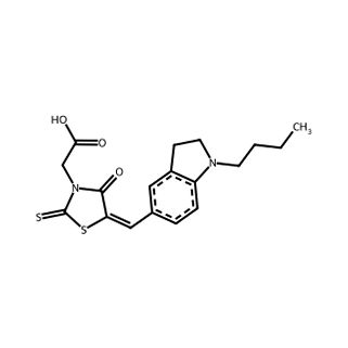 CCCCN1CCc2cc(C=C3SC(=S)N(CC(=O)O)C3=O)ccc21